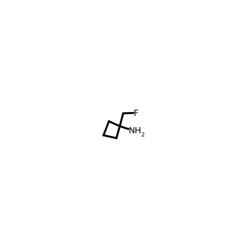 NC1(CF)CCC1